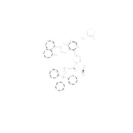 Cc1cccc2cccc(N3CCc4c(nc(OC[C@@H]5CCCN5C)nc4N4C[C@H](CC#N)N(C(=O)C5CN5C(c5ccccc5)(c5ccccc5)c5ccccc5)C4)C3)c12